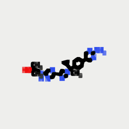 CC(C)(O)CNc1cnc(-c2cn(C(C)(c3ccc(-c4cnc(N)nc4)cc3)C3CC3)cn2)cn1